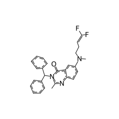 Cc1nc2ccc(N(C)CCC=C(F)F)cc2c(=O)n1C(c1ccccc1)c1ccccc1